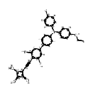 CCOc1ccc(N(c2ccc(C)cc2)c2ccc(-c3cc(F)c(C#Cc4c(O)c(=O)c4=O)c(F)c3)cc2)cc1